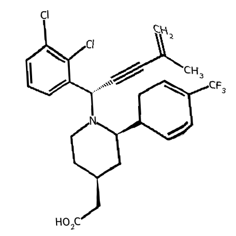 C=C(C)C#C[C@@H](c1cccc(Cl)c1Cl)N1CC[C@H](CC(=O)O)C[C@@H]1C1C=CC(C(F)(F)F)=CC1